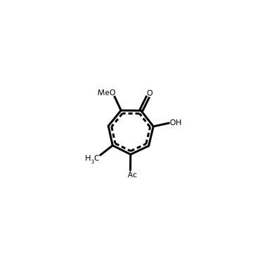 COc1cc(C)c(C(C)=O)cc(O)c1=O